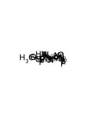 COCCOc1cc2[nH]nc(-c3cc(-c4ccc(C(=O)N5CC[C@@H](F)C5)nc4)no3)c2cc1F